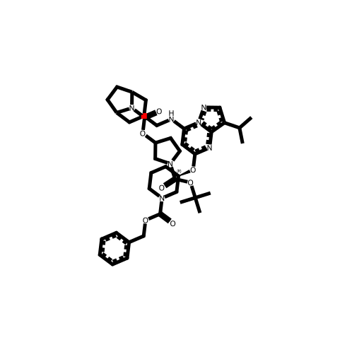 CC(C)c1cnn2c(NCC3CC4CCC(C3)N4C(=O)OC3CCN(C(=O)OC(C)(C)C)C3)cc(O[C@@H]3CCCN(C(=O)OCc4ccccc4)C3)nc12